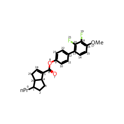 CCCC1CCC2C(C(=O)Oc3ccc(-c4ccc(OC)c(F)c4F)cc3)=CCC12